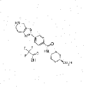 O=C(N[C@H]1CC[C@H](C(=O)O)CC1)c1ccc(-c2nc3c(s2)CNCC3)cc1.O=C(O)C(F)(F)F